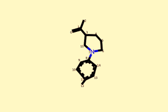 C=C(C)C1CCCN(c2ccc(C)cc2)C1